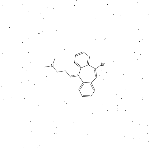 CN(C)CCC=C1c2ccccc2C=C(Br)c2ccccc21